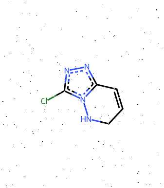 Clc1nnc2n1NCC=C2